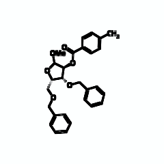 COC1O[C@@H](COCc2ccccc2)[C@@H](OCc2ccccc2)[C@@H]1OC(=O)c1ccc(C)cc1